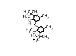 COc1c(Sc2cc(C)cc(C(C)(C)C)c2O)cc(C)cc1C(C)(C)C